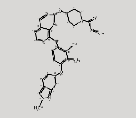 C=CC(=O)N1CCC(Oc2ccc3ncnc(Nc4ccc(Oc5ccc6cn(C)nc6c5)c(C)c4F)c3n2)CC1